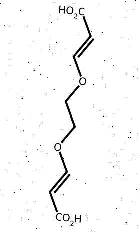 O=C(O)C=COCCOC=CC(=O)O